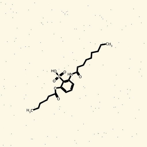 CCCCCCCCC(=O)Nc1cccc(OC(=O)CCCCC)c1S(=O)(=O)O